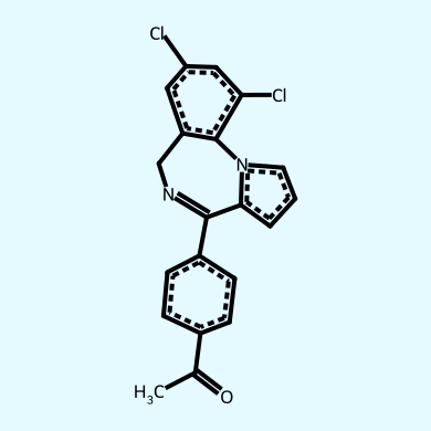 CC(=O)c1ccc(C2=NCc3cc(Cl)cc(Cl)c3-n3cccc32)cc1